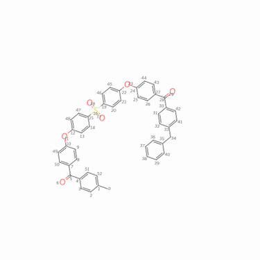 Cc1ccc(C(=O)c2ccc(Oc3ccc(S(=O)(=O)c4ccc(Oc5ccc(C(=O)c6ccc(Cc7ccccc7)cc6)cc5)cc4)cc3)cc2)cc1